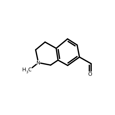 CN1CCc2ccc(C=O)cc2C1